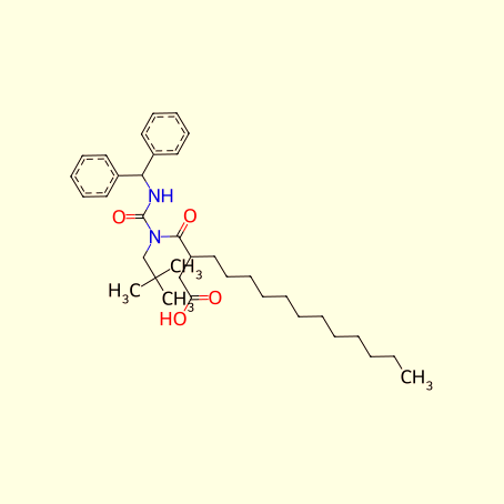 CCCCCCCCCCCCC(CC(=O)O)C(=O)N(CC(C)(C)C)C(=O)NC(c1ccccc1)c1ccccc1